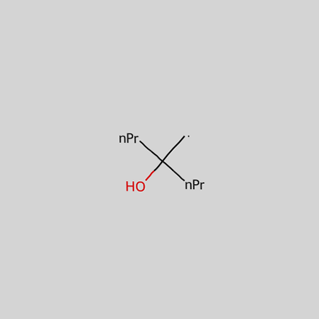 [CH2]C(O)(CCC)CCC